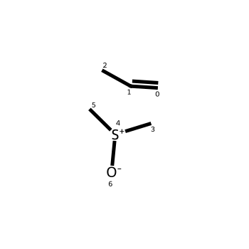 C=CC.C[S+](C)[O-]